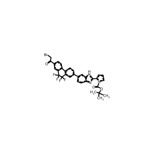 CC(C)(C)OC(=O)n1cccc1-c1nc2ccc(-c3ccc4c(c3)C(F)(F)C(F)(F)c3cc(C(=O)CBr)ccc3-4)cc2[nH]1